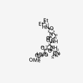 CCC(CC)CNC(=O)Cn1cccc(NC(=O)C(CCC(=O)C(=O)NCC(=O)OC)NC(=O)c2cncn2C)c1=O